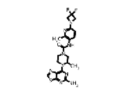 Cc1nc(N2CC(F)(F)C2)ccc1NC(=O)N1CCN(c2nc(N)nc3scnc23)C(C)C1